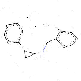 COc1ccccc1CN[C@@H]1C[C@H]1c1ccccc1